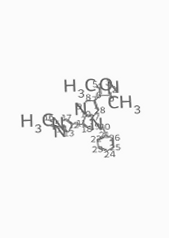 Cc1noc(C)c1-c1cnc2c(-c3cnn(C)c3)cn(Cc3ccccc3)c2c1